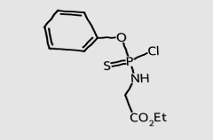 CCOC(=O)CNP(=S)(Cl)Oc1ccccc1